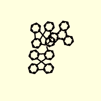 c1ccc2c(c1)-c1ccccc1C21c2ccccc2-c2c(N(c3ccc4c5ccccc5c5ccccc5c4c3)c3cccc4c3C3(c5ccccc5-c5ccccc53)c3ccccc3-4)cccc21